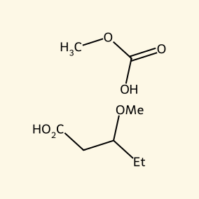 CCC(CC(=O)O)OC.COC(=O)O